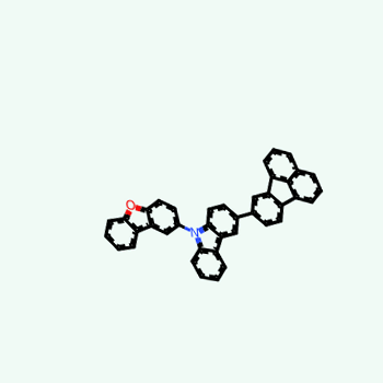 c1cc2c3c(cccc3c1)-c1cc(-c3ccc4c(c3)c3ccccc3n4-c3ccc4oc5ccccc5c4c3)ccc1-2